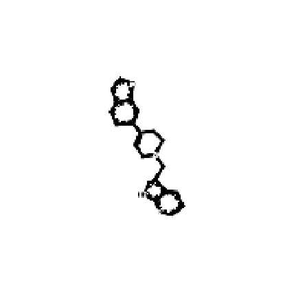 C1=C(c2ccc3ccoc3c2)CCN(Cc2c[nH]c3ncccc23)C1